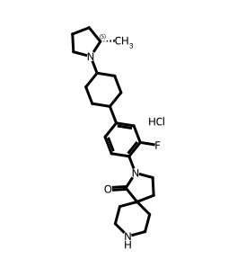 C[C@H]1CCCN1C1CCC(c2ccc(N3CCC4(CCNCC4)C3=O)c(F)c2)CC1.Cl